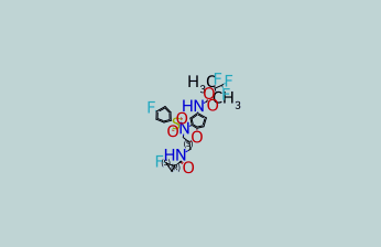 CC(C)(OC(=O)Nc1ccc2c(c1)N(S(=O)(=O)c1ccc(F)cc1)C[C@H](CNC(=O)[C@H]1C[C@@H]1F)O2)C(F)(F)F